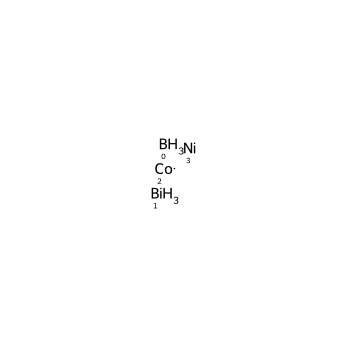 B.[BiH3].[Co].[Ni]